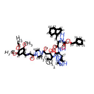 COc1cc(/C=C/C(=O)N2CCN(C(=O)CC(O)C(CC(C)C)NC(=O)[C@H](Cc3c[nH]cn3)NC(=O)[C@H](Cc3cccc4ccccc34)NC(=O)OCc3ccccc3)CC2)cc(OC)c1OC